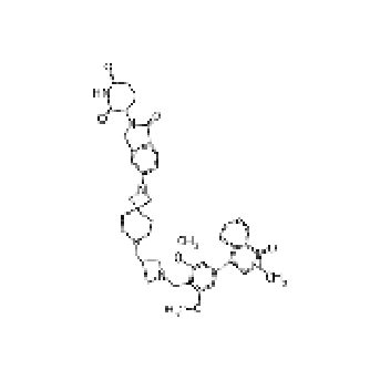 COc1cc(-c2cn(C)c(=O)c3ccccc23)cc(OC)c1CN1CC(CN2CCC3(CC2)CN(c2ccc4c(c2)CN(C2CCC(=O)NC2=O)C4=O)C3)C1